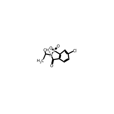 CC(C)N1C(=O)c2ccc(Cl)cc2S1(=O)=O